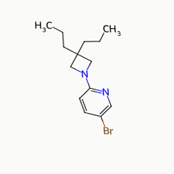 CCCC1(CCC)CN(c2ccc(Br)cn2)C1